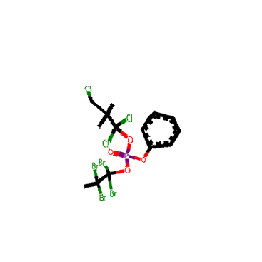 CC(Br)(Br)C(Br)(Br)OP(=O)(Oc1ccccc1)OC(Cl)(Cl)C(C)(C)CCl